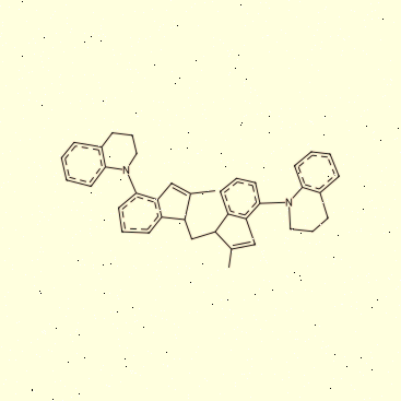 CC1=Cc2c(cccc2N2CCCc3ccccc32)C1CC1C(C)=Cc2c1cccc2N1CCCc2ccccc21